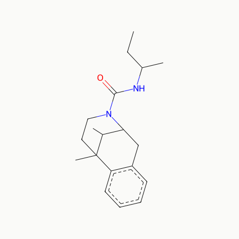 CCC(C)NC(=O)N1CCC2(C)c3ccccc3CC1C2C